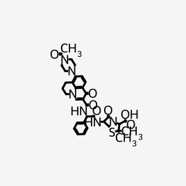 CC(=O)N1CCN(c2ccc3c(=O)c(C(=O)NC(C(=O)NC4C(=O)N5C4SC(C)(C)C5C(=O)O)c4ccccc4)cn4c3c2CCC4)CC1